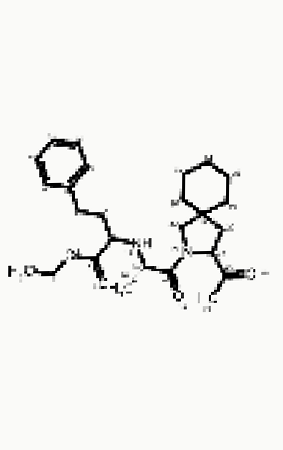 CCOC(=O)C(CCc1ccccc1)N[C@@H](C)C(=O)N1CC2(CCCCC2)CC1C(=O)O